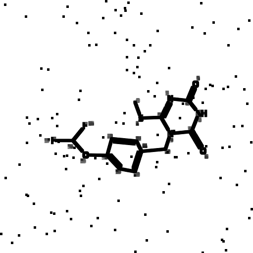 CSc1nc(=O)[nH]c(=O)n1Cc1ccc(OC(F)F)cc1